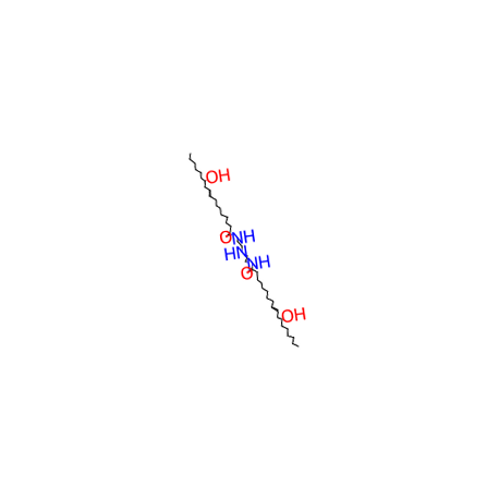 CCCCCCC(O)C/C=C/CCCCCCCC(=O)NCCNCCNC(=O)CCCCCCC/C=C/CC(O)CCCCCC